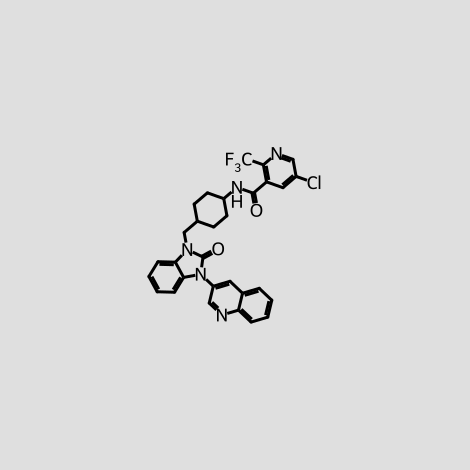 O=C(NC1CCC(Cn2c(=O)n(-c3cnc4ccccc4c3)c3ccccc32)CC1)c1cc(Cl)cnc1C(F)(F)F